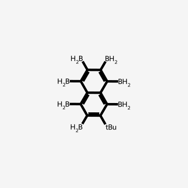 Bc1c(B)c(B)c2c(B)c(C(C)(C)C)c(B)c(B)c2c1B